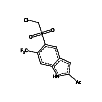 CC(=O)c1cc2cc(S(=O)(=O)CCl)c(C(F)(F)F)cc2[nH]1